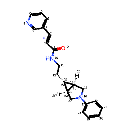 O=C(/C=C/c1cccnc1)NCC[C@@H]1[C@H]2CN(c3ccccc3)C[C@@H]12